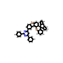 c1ccc(-c2cc(-c3ccc4sc5ccc6c(c5c4c3)Sc3ccccc3C63c4ccccc4-c4ccccc43)nc(-c3ccccc3)n2)cc1